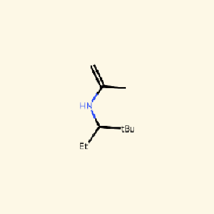 C=C(C)NC(CC)C(C)(C)C